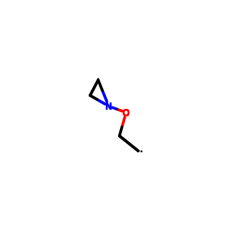 [CH2]CON1CC1